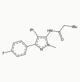 CC(C)c1c(-c2ccc(F)cc2)nn(C)c1NC(=O)CC(C)(C)C